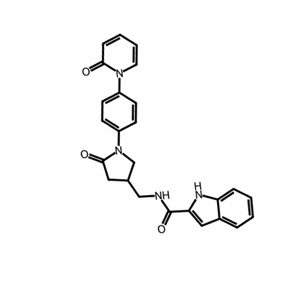 O=C(NCC1CC(=O)N(c2ccc(-n3ccccc3=O)cc2)C1)c1cc2ccccc2[nH]1